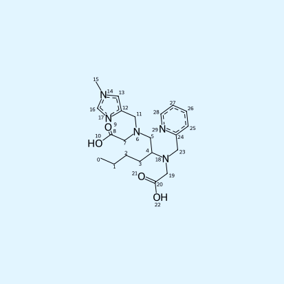 CCCCC(CN(CC(=O)O)Cc1cn(C)cn1)N(CC(=O)O)Cc1ccccn1